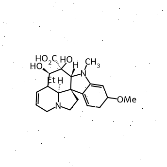 CC[C@]12C=CCN3CC[C@@]4(C5=CCC(OC)C=C5N(C)[C@H]4[C@@](O)(C(=O)O)[C@@H]1O)[C@@H]32